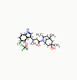 CC(CC(=O)N1C(C)CC2(C)CC1CC(C)(O)C2)c1c[nH]c2ccc(Cl)c(OC(F)(F)F)c12